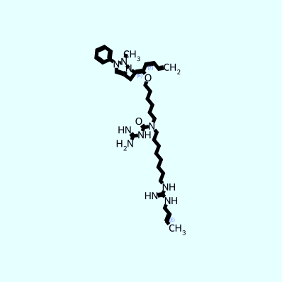 C=C/C=C\C(OCCCCCCN(CCCCCCCCNC(=N)NC/C=C/C)C(=O)NC(=N)N)=C1\CC2=CN(c3ccccc3)N(C)N21